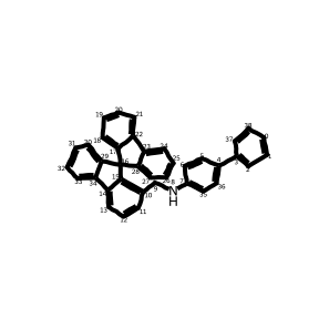 c1ccc(-c2ccc(NCc3cccc4c3C3(c5ccccc5-c5ccccc53)c3ccccc3-4)cc2)cc1